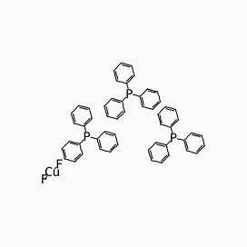 [F][Cu][F].c1ccc(P(c2ccccc2)c2ccccc2)cc1.c1ccc(P(c2ccccc2)c2ccccc2)cc1.c1ccc(P(c2ccccc2)c2ccccc2)cc1